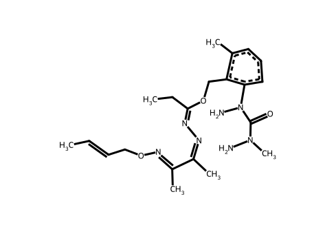 CC=CCON=C(C)C(C)=N/N=C(/CC)OCc1c(C)cccc1N(N)C(=O)N(C)N